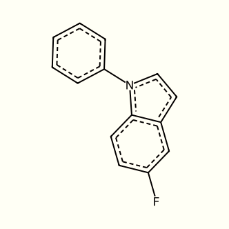 Fc1ccc2c(ccn2-c2ccccc2)c1